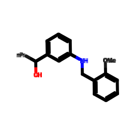 CCCC(O)c1cccc(NCc2ccccc2OC)c1